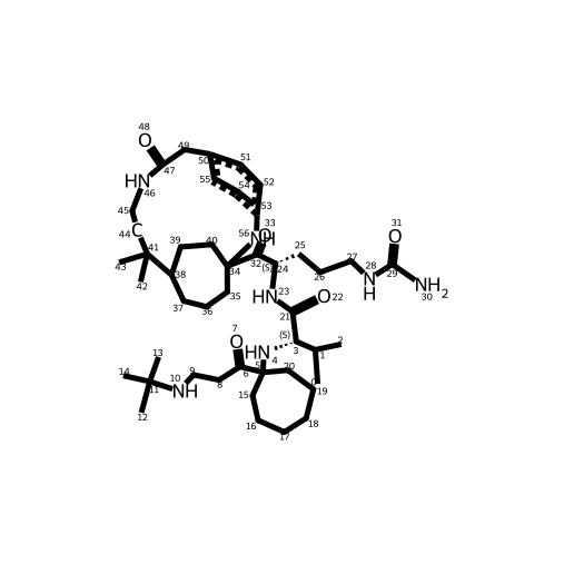 CC(C)[C@H](NC1(C(=O)CCNC(C)(C)C)CCCCCC1)C(=O)N[C@@H](CCCNC(N)=O)C(=O)C12CCCC(CC1)C(C)(C)CCNC(=O)Cc1ccc(cc1)N2